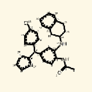 CC(=O)Nc1ccc(C(c2ccc(Cl)cc2)c2nccs2)cc1NC1CCc2ccccc2C1